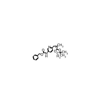 CN(Cc1ccc(NC(=O)OCc2ccccc2)cn1)C(=O)OC(C)(C)C